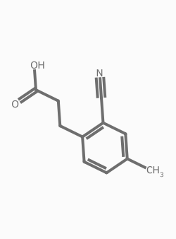 Cc1ccc(CCC(=O)O)c(C#N)c1